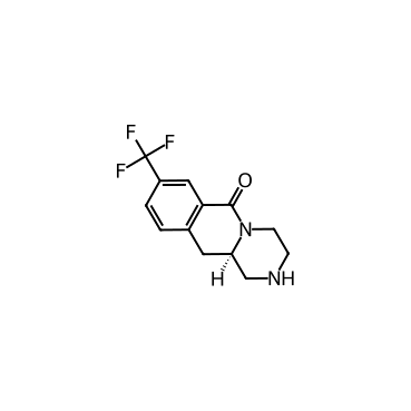 O=C1c2cc(C(F)(F)F)ccc2C[C@@H]2CNCCN12